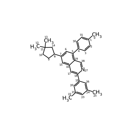 Cc1ccc(-c2cc(C3CCC(C)(C)C3)cc3cc(-c4cc(C)cc(C)c4)ncc23)cc1